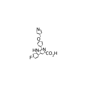 O=C(O)c1cc2c([nH]c3cc(F)ccc32)c(-c2ccc(OCc3ccncc3)cc2)n1